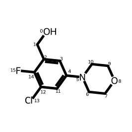 OCc1cc(N2CCOCC2)cc(Cl)c1F